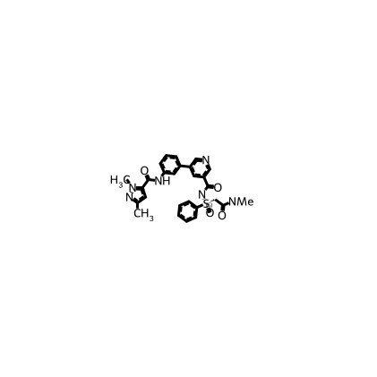 CNC(=O)C[S@@](=O)(=NC(=O)c1cncc(-c2cccc(NC(=O)c3cc(C)nn3C)c2)c1)c1ccccc1